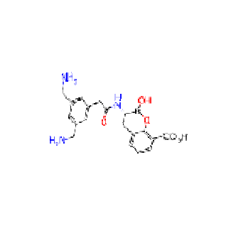 NCc1cc(CN)cc(CC(=O)N[C@H]2Cc3cccc(C(=O)O)c3OB2O)c1